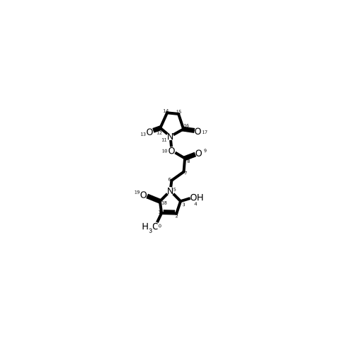 CC1=CC(O)N(CCC(=O)ON2C(=O)CCC2=O)C1=O